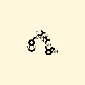 CC(CNCc1cccc2[nH]ccc12)C(=O)NC(C(=O)NCc1ccc2c(c1)OCCCO2)C(C)C